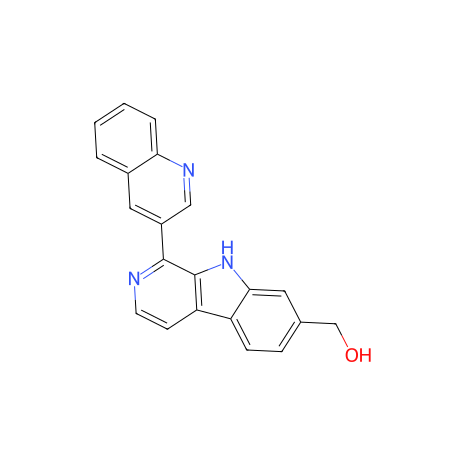 OCc1ccc2c(c1)[nH]c1c(-c3cnc4ccccc4c3)nccc12